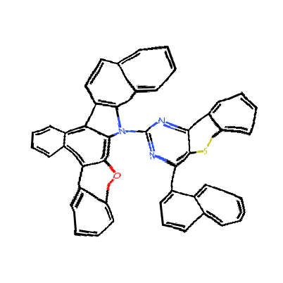 c1ccc2c(-c3nc(-n4c5c6ccccc6ccc5c5c6ccccc6c6c7ccccc7oc6c54)nc4c3sc3ccccc34)cccc2c1